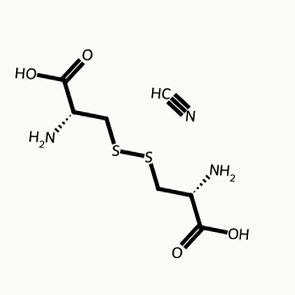 C#N.N[C@@H](CSSC[C@H](N)C(=O)O)C(=O)O